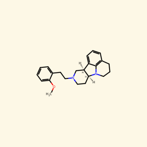 COc1ccccc1CCN1CC[C@H]2[C@@H](C1)c1cccc3c1N2CCC3